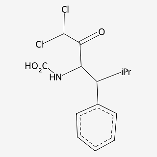 CC(C)C(c1ccccc1)C(NC(=O)O)C(=O)C(Cl)Cl